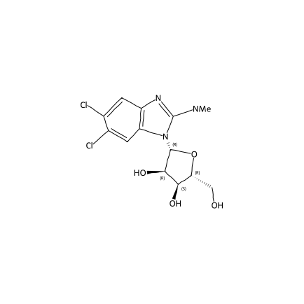 CNc1nc2cc(Cl)c(Cl)cc2n1[C@@H]1O[C@H](CO)[C@@H](O)[C@H]1O